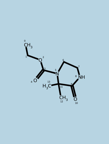 CCOC(=O)N1CCNC(=O)C1(C)C